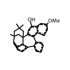 COc1ccc2c3c(cc(O)c2c1)C12CC(C)(C)CC(C)(C1)c1ccc(c2c1)-c1ccccc1-3